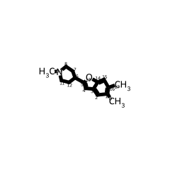 Cc1cc2cc(C3CCN(C)CC3)oc2cc1C